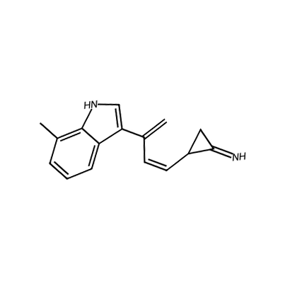 C=C(/C=C\C1CC1=N)c1c[nH]c2c(C)cccc12